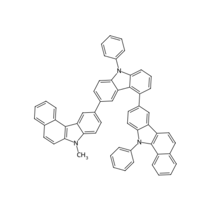 Cn1c2ccc(-c3ccc4c(c3)c3c(-c5ccc6c(c5)c5ccc7ccccc7c5n6-c5ccccc5)cccc3n4-c3ccccc3)cc2c2c3ccccc3ccc21